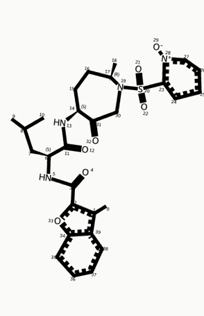 Cc1c(C(=O)N[C@@H](CC(C)C)C(=O)N[C@H]2CC[C@@H](C)N(S(=O)(=O)c3cccc[n+]3[O-])CC2=O)oc2ccccc12